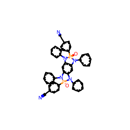 N#Cc1ccc(P2(=O)N(c3ccccc3)c3cc4c(cc3N2c2ccccc2)N(c2ccccc2)P(=O)(c2ccc(C#N)cc2)N4c2ccccc2)cc1